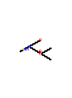 C=CCSNCCCN(CCCCCCCC=O)CCCCCCCC(=O)OC(CCCCCCCC)CCCCCCCC